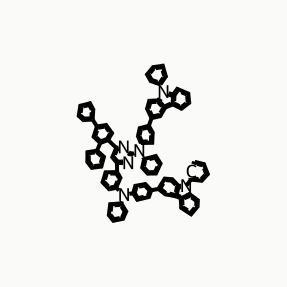 c1ccc(-c2ccc(-c3cc(-c4cccc(N(c5ccccc5)c5ccc(-c6ccc7c(c6)c6ccccc6n7-c6ccccc6)cc5)c4)nc(N(c4ccccc4)c4ccc(-c5ccc6c(c5)c5ccccc5n6-c5ccccc5)cc4)n3)c(-c3ccccc3)c2)cc1